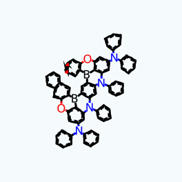 c1ccc(N(c2ccccc2)c2cc3c4c(c2)N(c2ccccc2)c2cc5c(cc2B4c2cc4ccccc4cc2O3)B2c3cc4ccccc4cc3Oc3cc(N(c4ccccc4)c4ccccc4)cc(c32)N5c2ccccc2)cc1